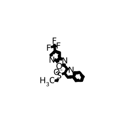 CC[S+]([O-])C1C=c2ccccc2=NC1c1nc2cc(C(F)(F)F)cnc2o1